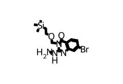 C[Si](C)(C)CCOCn1c(NN)nc2cc(Br)ccc2c1=O